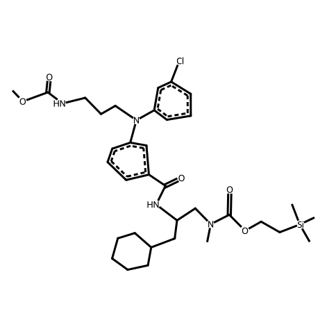 COC(=O)NCCCN(c1cccc(Cl)c1)c1cccc(C(=O)NC(CC2CCCCC2)CN(C)C(=O)OCC[Si](C)(C)C)c1